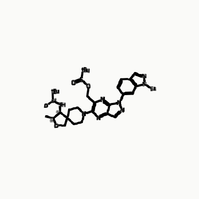 CCn1ncc2ccc(-n3ncc4nc(N5CCC6(CC5)CO[C@@H](C)[C@H]6N[S+]([O-])C(C)(C)C)c(COS(=O)C(C)(C)C)nc43)cc21